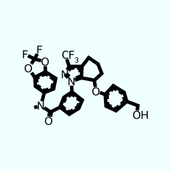 CN(C(=O)c1cccc(-n2nc(C(F)(F)F)c3c2C(Oc2ccc(CO)cc2)CCC3)c1)c1ccc2c(c1)OC(F)(F)O2